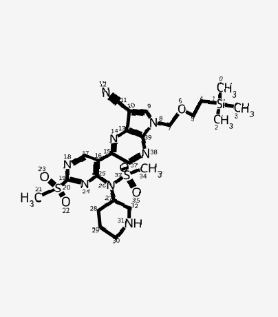 C[Si](C)(C)CCOCn1cc(C#N)c2nc(-c3cnc(S(C)(=O)=O)nc3N(C3CCCNC3)S(C)(=O)=O)cnc21